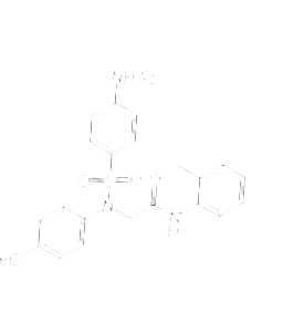 COc1ccc(N(CC(=O)Nc2ccccc2C)S(=O)(=O)c2ccc(NC(C)=O)cc2)cc1